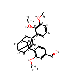 COc1cc(C=O)ccc1C12CC3CC(C1)CC(c1cccc(OC)c1OC)(C3)C2